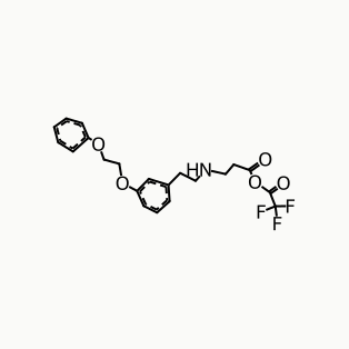 O=C(CCNCCc1cccc(OCCOc2ccccc2)c1)OC(=O)C(F)(F)F